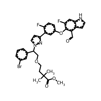 COC(=O)C(C)(C)CCOCC(c1cccc(Br)c1)n1ccc(-c2cc(Oc3c(F)cc4[nH]ccc4c3C=O)ccc2F)n1